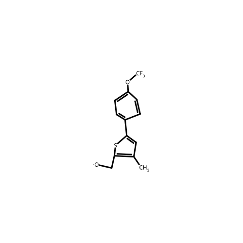 Cc1cc(-c2ccc(OC(F)(F)F)cc2)sc1C[O]